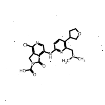 CN(C)Cc1nc(Nc2cnc(Cl)c3c2C(=O)N(C(=O)O)C3)ccc1C1CCOC1